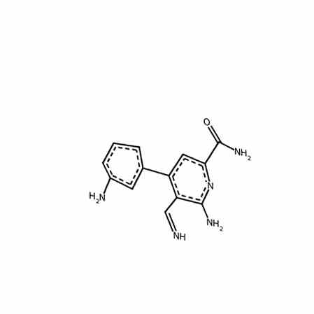 N=Cc1c(-c2cccc(N)c2)cc(C(N)=O)nc1N